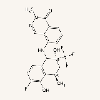 C[C@@H]1C[C@](O)(C(F)(F)F)C(Nc2cccc3c(=O)n(C)ncc23)c2ccc(F)c(O)c21